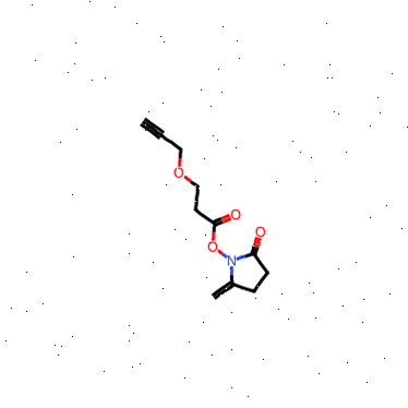 C#CCOCCC(=O)ON1C(=C)CCC1=O